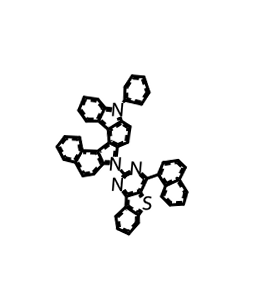 c1ccc(-n2c3ccccc3c3c4c5c6ccccc6ccc5n(-c5nc(-c6cccc7ccccc67)c6sc7ccccc7c6n5)c4ccc32)cc1